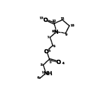 CNCC(=O)OCCN1CCCC1=O